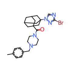 Cc1ccc(CN2CCN(C(=O)C34CC5CC(C3)CC(n3cnc(Br)n3)(C5)C4)CC2)cc1